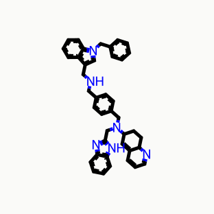 C1=CC2=CC(N(Cc3ccc(CNCc4cn(Cc5ccccc5)c5ccccc45)cc3)Cc3nc4ccccc4[nH]3)CCC2N=C1